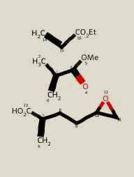 C=C(C)C(=O)OC.C=C(CCC1CO1)C(=O)O.C=CC(=O)OCC